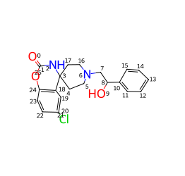 O=C1NC2(CCN(CC(O)c3ccccc3)CC2)c2cc(Cl)ccc2O1